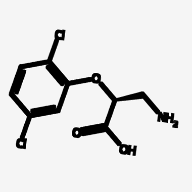 NC[C@H](Oc1cc(Cl)ccc1Cl)C(=O)O